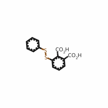 O=C(O)c1cccc(SSc2ccccc2)c1C(=O)O